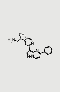 CC(CN)c1ccnc(-c2cnn3ccc(-c4ccccc4)nc23)c1